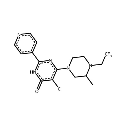 CC1CN(c2nc(-c3ccncc3)[nH]c(=O)c2Cl)CCN1CC(F)(F)F